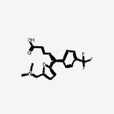 CN(C)Cc1ccc(C(=CC=CC(=O)O)c2ccc(C(F)(F)F)cc2)o1